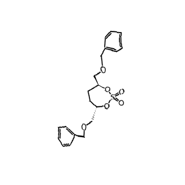 O=S1(=O)O[C@H](COCc2ccccc2)CC[C@@H](COCc2ccccc2)O1